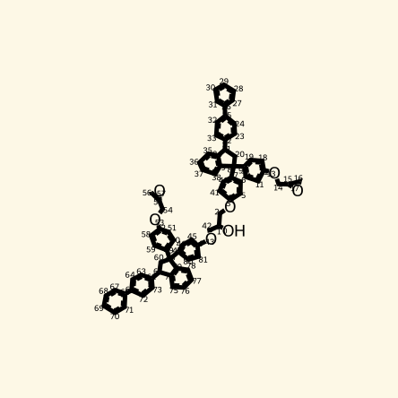 OC(COc1ccc(C2(c3ccc(OCC4CO4)cc3)CC(c3ccc(-c4ccccc4)cc3)c3ccccc32)cc1)COc1ccc(C2(c3ccc(OCC4CO4)cc3)CC(c3ccc(-c4ccccc4)cc3)c3ccccc32)cc1